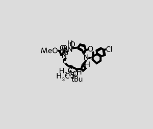 COC(=O)CN1CC/C=C/[C@H](O[Si](C)(C)C(C)(C)C)[C@@H]2CC[C@H]2CN2C[C@@]3(CCCc4cc(Cl)ccc43)COc3ccc(cc32)C(=O)NS1(=O)=O